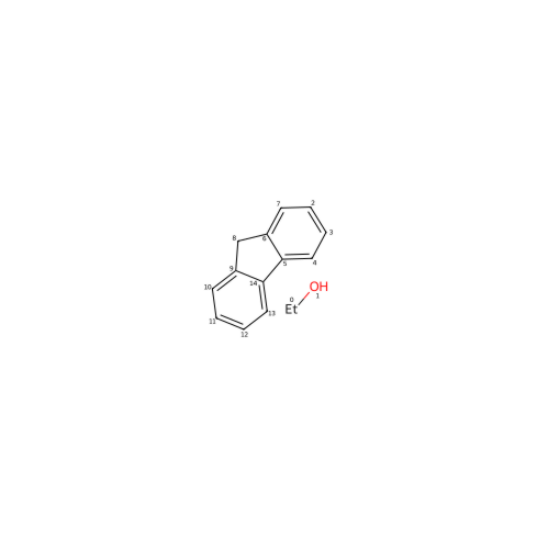 CCO.c1ccc2c(c1)Cc1ccccc1-2